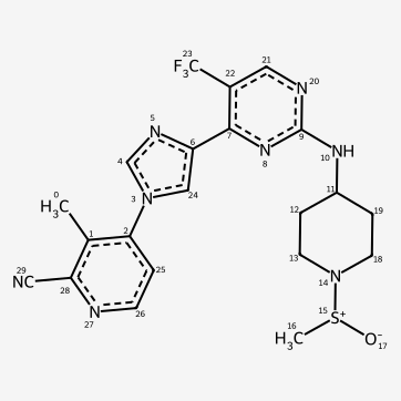 Cc1c(-n2cnc(-c3nc(NC4CCN([S+](C)[O-])CC4)ncc3C(F)(F)F)c2)ccnc1C#N